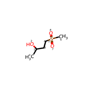 CC(O)CCS(C)(=O)=O